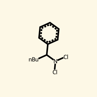 CCCCC(c1ccccc1)N(Cl)Cl